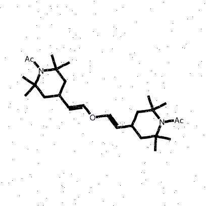 CC(=O)N1C(C)(C)CC(C=COC=CC2CC(C)(C)N(C(C)=O)C(C)(C)C2)CC1(C)C